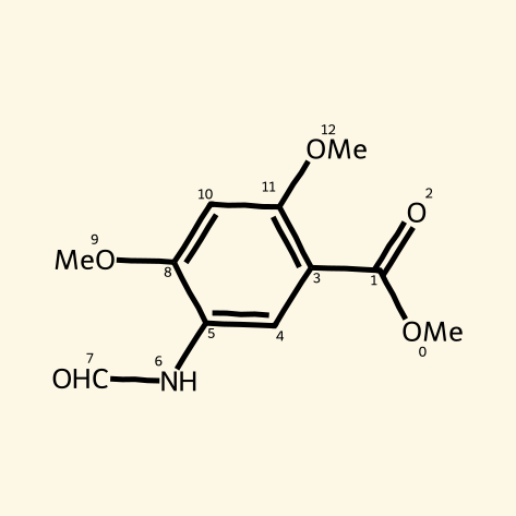 COC(=O)c1cc(NC=O)c(OC)cc1OC